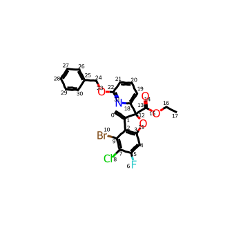 C=C1c2c(cc(F)c(Cl)c2Br)OC1(C(=O)OCC)c1cccc(OCc2ccccc2)n1